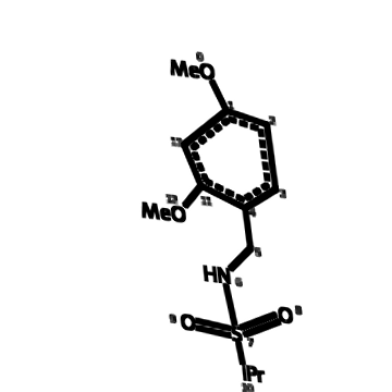 COc1ccc(CNS(=O)(=O)C(C)C)c(OC)c1